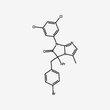 CCCC1(Cc2ccc(Br)cc2)C(=O)N(c2cc(Cl)cc(Cl)c2)c2ncc(C)n21